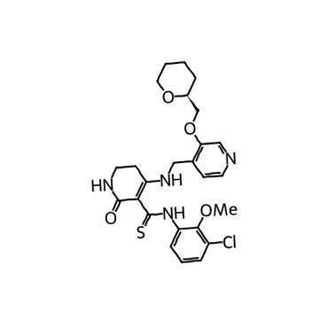 COc1c(Cl)cccc1NC(=S)C1=C(NCc2ccncc2OC[C@@H]2CCCCO2)CCNC1=O